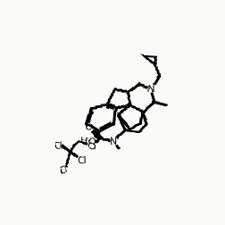 CC1N(CC2CC2)CC2Cc3ccc(O)cc3C23C2CCC13CCC2N(C)C(=O)OCC(Cl)(Cl)Cl